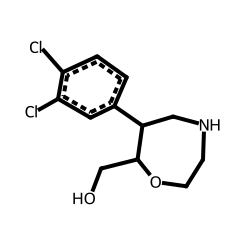 OCC1OCCNCC1c1ccc(Cl)c(Cl)c1